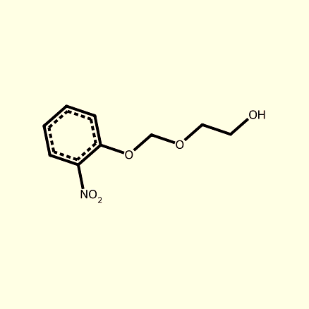 O=[N+]([O-])c1ccccc1OCOCCO